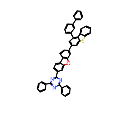 c1ccc(-c2cccc(-c3cc(-c4ccc5c(c4)oc4cc(-c6nc(-c7ccccc7)nc(-c7ccccc7)n6)ccc45)cc4sc5ccccc5c34)c2)cc1